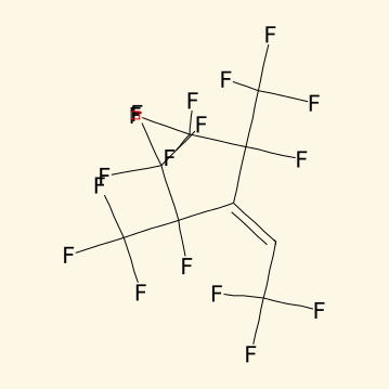 FC(F)(F)C=C(C(F)(C(F)(F)F)C(F)(F)F)C(F)(C(F)(F)F)C(F)(F)F